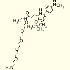 CCN(OCCOCCOCCOCCOCCN)C(=O)CCC(NC(=O)c1ccc(NC)cc1)C(=O)OC(C)(C)C